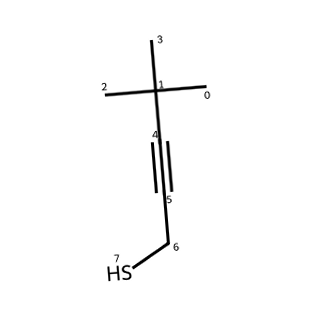 CC(C)(C)C#CCS